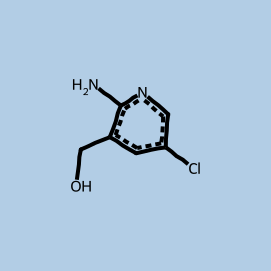 Nc1ncc(Cl)cc1CO